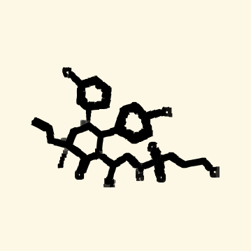 C=CC[C@@]1(C)C[C@H](c2cccc(Cl)c2)C(c2ccc(Cl)cc2)N(C(CC)CNS(=O)(=O)CCCCl)C1=O